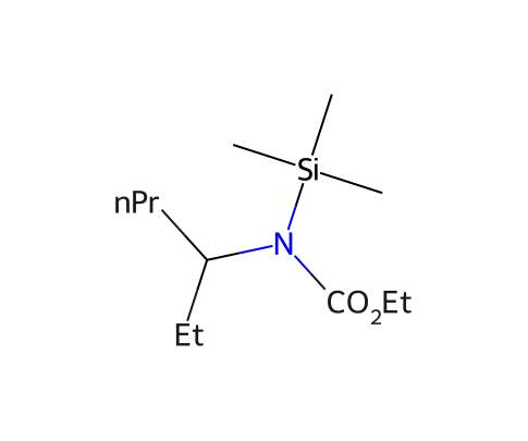 CCCC(CC)N(C(=O)OCC)[Si](C)(C)C